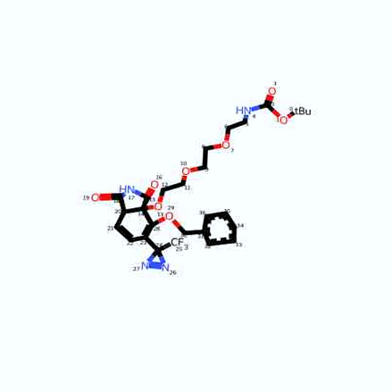 CC(C)(C)OC(=O)NCCOCCOCCOC12C(=O)NC(=O)C1C=CC(C1(C(F)(F)F)N=N1)=C2OCc1ccccc1